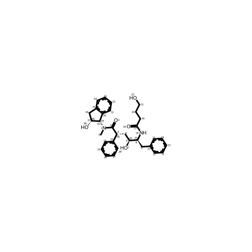 CN(C(=O)[C@H](C[C@H](O)[C@H](Cc1ccccc1)NC(=O)CCCO)c1ccccc1)[C@H]1c2ccccc2C[C@H]1O